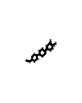 C=CC1CCC(C2CCC(c3ccc(F)c(F)c3)CC2)CC1